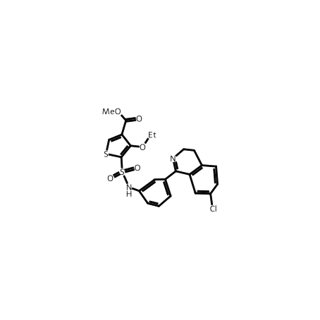 CCOc1c(C(=O)OC)csc1S(=O)(=O)Nc1cccc(C2=NCCc3ccc(Cl)cc32)c1